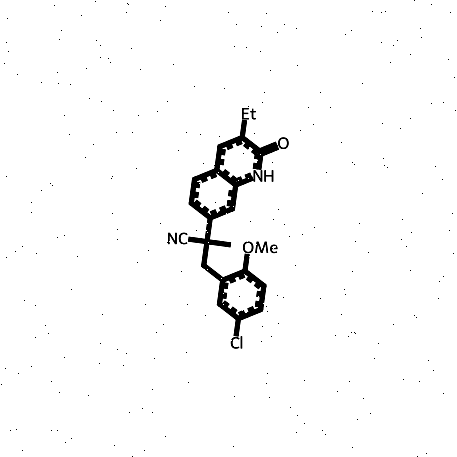 CCc1cc2ccc(C(C)(C#N)Cc3cc(Cl)ccc3OC)cc2[nH]c1=O